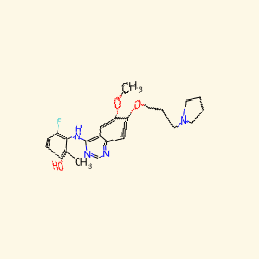 COc1cc2c(Nc3c(F)ccc(O)c3C)ncnc2cc1OCCCN1CCCC1